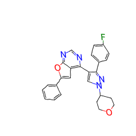 Fc1ccc(-c2nn(C3CCOCC3)cc2-c2ncnc3oc(-c4ccccc4)cc23)cc1